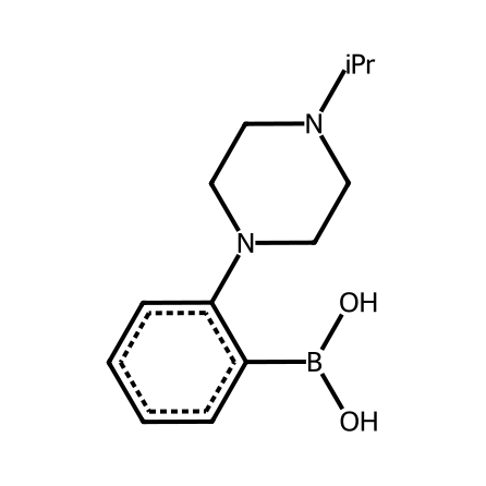 CC(C)N1CCN(c2ccccc2B(O)O)CC1